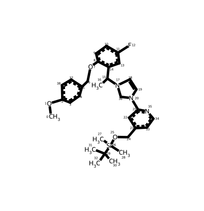 COc1ccc(COc2ccc(F)cc2C(C)N2C=CN(c3cc(CO[Si](C)(C)C(C)(C)C)ccn3)C2)cc1